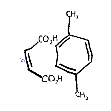 Cc1ccc(C)cc1.O=C(O)/C=C\C(=O)O